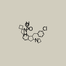 O=[SH](=O)NC1(Cc2ccc3c(c2)C(Cc2cccc(Cl)c2)C(N2CCC2)C3)CCC1